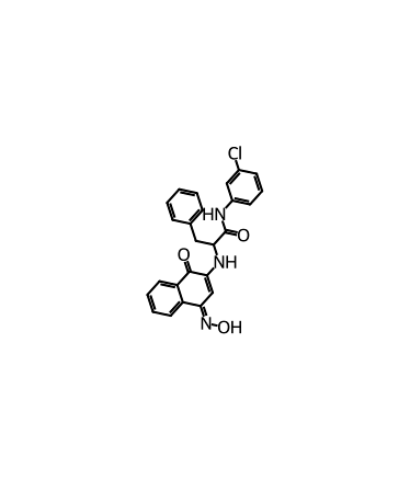 O=C1C(NC(Cc2ccccc2)C(=O)Nc2cccc(Cl)c2)=CC(=NO)c2ccccc21